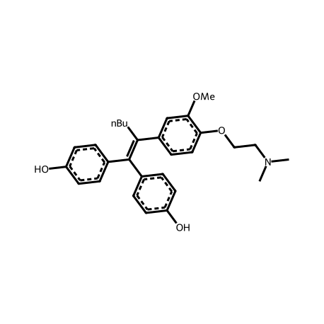 CCCCC(=C(c1ccc(O)cc1)c1ccc(O)cc1)c1ccc(OCCN(C)C)c(OC)c1